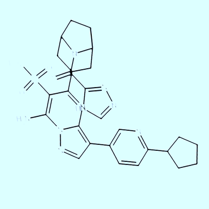 CS(=O)(=O)c1c(C2CC3CCC(C2)N3C(=O)c2nnc[nH]2)nc2c(-c3ccc(C4CCCC4)nc3)cnn2c1N